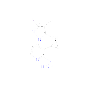 Cc1c(C(C)C)c(I)nn1-c1ccnc(NN)c1C1CC1